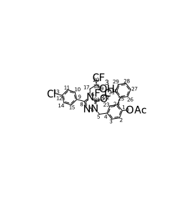 CC(=O)Oc1ccc(Cn2nc(-c3ccc(Cl)cc3)n(C[C@H](O)C(F)(F)F)c2=O)cc1-c1ccccc1C(F)(F)F